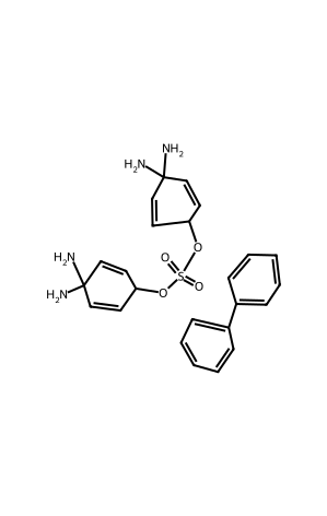 NC1(N)C=CC(OS(=O)(=O)OC2C=CC(N)(N)C=C2)C=C1.c1ccc(-c2ccccc2)cc1